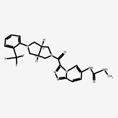 CNC(=O)Nc1ccc2nnc(C(=O)N3C[C@@H]4CN(c5ccccc5C(F)(F)F)C[C@@H]4C3)n2c1